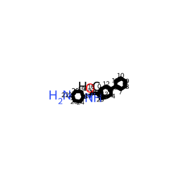 CC12CC3CC(c4ccccc4)(C1)CC2(C(=O)NC1CCC(N)CC1)C3